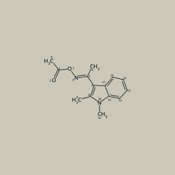 CC(=O)O/N=C(\C)c1c(C)n(C)c2ccccc12